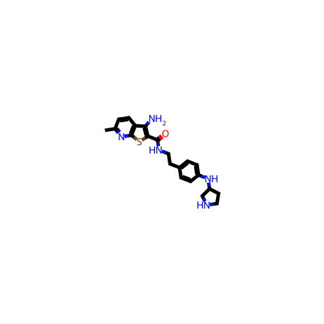 Cc1ccc2c(N)c(C(=O)NCCc3ccc(NC4CCNC4)cc3)sc2n1